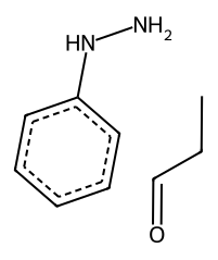 CCC=O.NNc1ccccc1